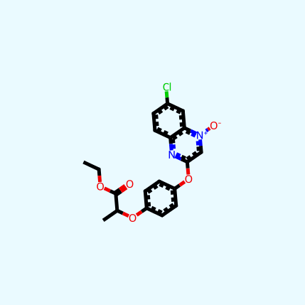 CCOC(=O)C(C)Oc1ccc(Oc2c[n+]([O-])c3cc(Cl)ccc3n2)cc1